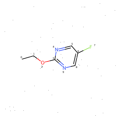 C[CH]Oc1ncc(F)cn1